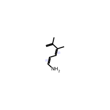 C=C(C)/C(C)=C\C=C/N